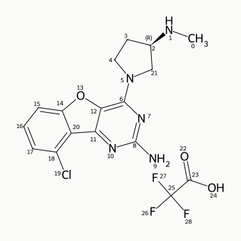 CN[C@@H]1CCN(c2nc(N)nc3c2oc2cccc(Cl)c23)C1.O=C(O)C(F)(F)F